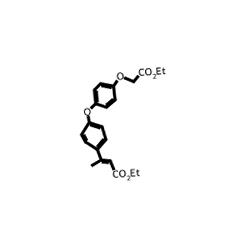 CCOC(=O)C=C(C)c1ccc(Oc2ccc(OCC(=O)OCC)cc2)cc1